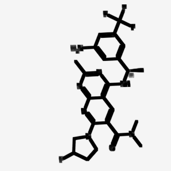 Cc1nc(N[C@H](C)c2cc(N)cc(C(F)(F)F)c2)c2cc(C(=O)N(C)C)c(N3CCC(F)C3)nc2n1